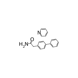 NC(=O)Cc1ccc(-c2ccccc2)cc1.c1ccncc1